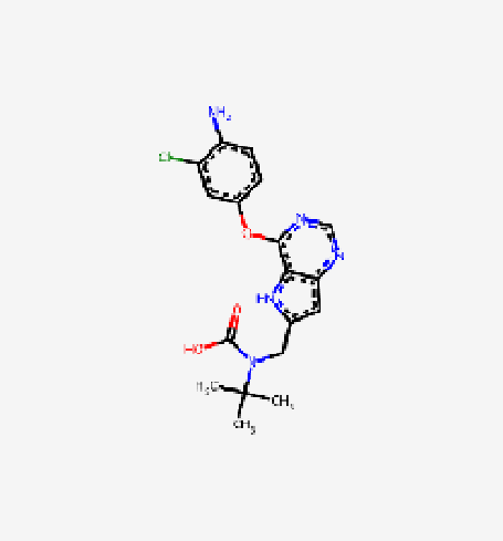 CC(C)(C)N(Cc1cc2ncnc(Oc3ccc(N)c(Cl)c3)c2[nH]1)C(=O)O